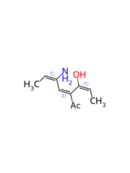 C\C=C(N)/C=C(C(C)=O)\C(O)=C/C